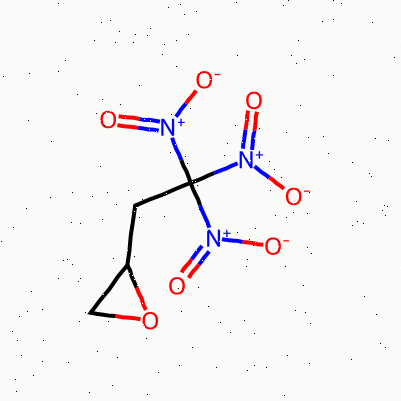 O=[N+]([O-])C(CC1CO1)([N+](=O)[O-])[N+](=O)[O-]